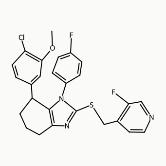 COc1cc(C2CCCc3nc(SCc4ccncc4F)n(-c4ccc(F)cc4)c32)ccc1Cl